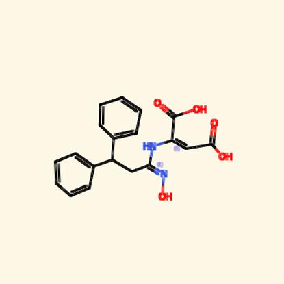 O=C(O)/C=C(/N/C(CC(c1ccccc1)c1ccccc1)=N/O)C(=O)O